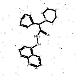 O=C(NNc1cccc2ncccc12)C(c1ccccc1)C1CCCCC1